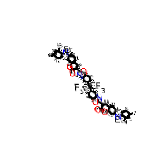 CCN(C1=C(C)C=C(C)CC1)c1ccc2cc(-c3nc4cc(C(c5ccc6oc(-c7cc8ccc(N(CC)C9=C(C)C=C(C)CC9)cc8oc7=O)nc6c5)(C(F)(F)F)C(F)(F)F)ccc4o3)c(=O)oc2c1